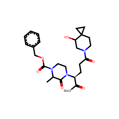 COC(=O)[C@H](CCC(=O)N1CCC2(CC2)C(O)C1)N1CCN(C(=O)OCc2ccccc2)C(C)C1=O